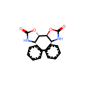 O=C1N[C@@H](Cc2ccccc2)[C@@H]([C@H]2OC(=O)N[C@H]2Cc2ccccc2)O1